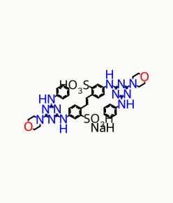 O=S(=O)(O)c1cc(Nc2nc(Nc3ccccc3)nc(N3CCOCC3)n2)ccc1C=Cc1ccc(Nc2nc(Nc3ccccc3)nc(N3CCOCC3)n2)cc1S(=O)(=O)O.[NaH]